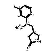 Cc1ccnc(N(CC2CNC(=O)C2)C(=O)O)c1